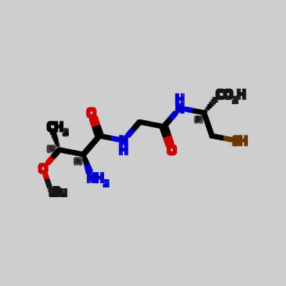 C[C@@H](OC(C)(C)C)[C@H](N)C(=O)NCC(=O)N[C@@H](CS)C(=O)O